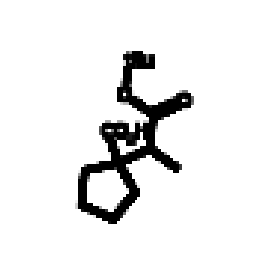 CC(C(=O)OC(C)(C)C)C1(C(=O)O)CCCC1